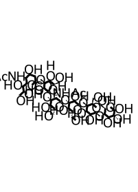 CC(=O)N[C@H]1[C@H](O[C@H]2[C@@H](O)[C@@H](CO)O[C@H](O[C@@H]3[C@H](O)[C@@H](O)[C@H](O[C@H]4[C@H](O)[C@@H](O)[C@H](O)O[C@@H]4CO)O[C@@H]3CO)[C@@H]2O)O[C@H](CO)[C@H](O)[C@@H]1O[C@@H]1O[C@H](CO)[C@H](O)[C@H](O[C@]2(C(=O)O)C[C@H](O)[C@@H](NC(C)=O)[C@H]([C@H](O)[C@H](O)CO)O2)[C@H]1O